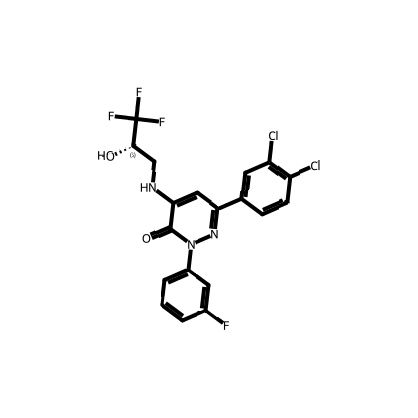 O=c1c(NC[C@H](O)C(F)(F)F)cc(-c2ccc(Cl)c(Cl)c2)nn1-c1cccc(F)c1